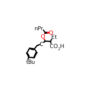 CCCC(=O)OC(CCc1ccc(C(C)(C)C)cc1)C(CC)C(=O)O